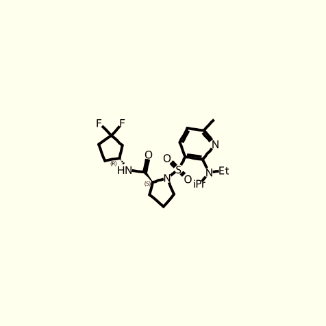 CCN(c1nc(C)ccc1S(=O)(=O)N1CCC[C@H]1C(=O)N[C@@H]1CCC(F)(F)C1)C(C)C